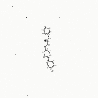 Fc1ccc(N2CCN(CCNCc3ccccn3)CC2)cc1